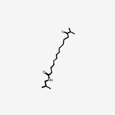 CC(C)CNC(=O)CCCCCCCCCCCC(=O)C(C)C